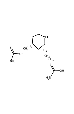 C.C.C.C.C.C1CCNCC1.NC(O)=S.NC(O)=S